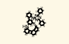 c1ccc(-c2nc(-c3ccccc3)nc(-n3c4ccccc4c4cc5cc(sc6ccc7cccc(c7c6)c6ccccc6[nH]5)c43)n2)cc1